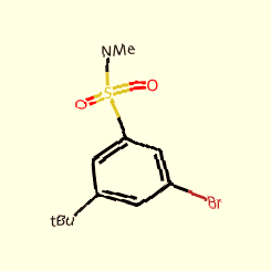 CNS(=O)(=O)c1cc(Br)cc(C(C)(C)C)c1